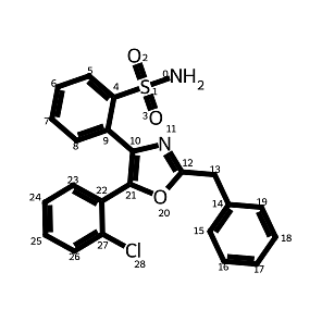 NS(=O)(=O)c1ccccc1-c1nc(Cc2ccccc2)oc1-c1ccccc1Cl